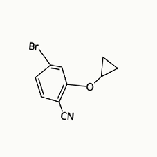 N#Cc1ccc(Br)cc1OC1CC1